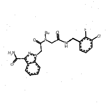 CCC(C)N(CC(=O)NCc1cccc(Cl)c1F)C(=O)Cn1nc(C(N)=O)c2ccccc21